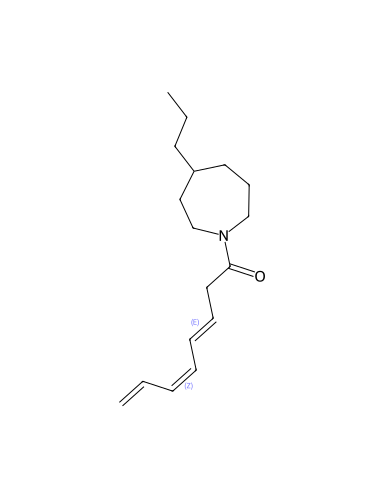 C=C/C=C\C=C\CC(=O)N1CCCC(CCC)CC1